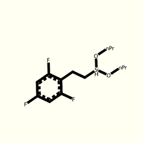 CCCO[SiH](CCc1c(F)cc(F)cc1F)OCCC